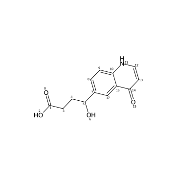 O=C(O)CCC(O)c1ccc2[nH]ccc(=O)c2c1